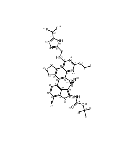 CCSc1nc(NCc2nnc(C(F)F)[nH]2)c2c3c(c(-c4ccc(F)c5sc(NC(=O)OC(C)(C)C)c(C#N)c45)c(Cl)c2n1)COC3